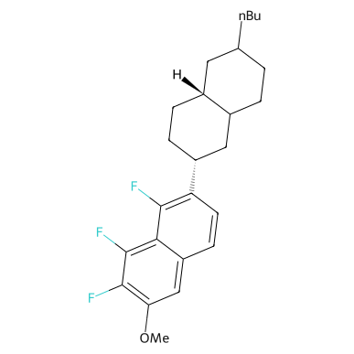 CCCCC1CCC2C[C@H](c3ccc4cc(OC)c(F)c(F)c4c3F)CC[C@@H]2C1